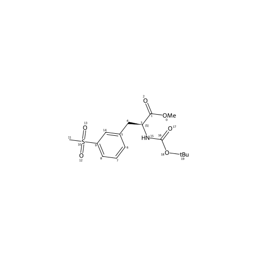 COC(=O)[C@H](Cc1cccc(S(C)(=O)=O)c1)NC(=O)OC(C)(C)C